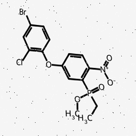 CCP(=O)(OC)c1cc(Oc2ccc(Br)cc2Cl)ccc1[N+](=O)[O-]